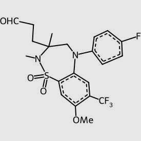 COc1cc2c(cc1C(F)(F)F)N(c1ccc(F)cc1)CC(C)(CCC=O)N(C)S2(=O)=O